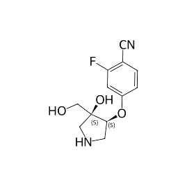 N#Cc1ccc(O[C@H]2CNC[C@]2(O)CO)cc1F